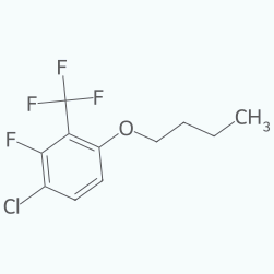 CCCCOc1ccc(Cl)c(F)c1C(F)(F)F